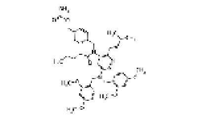 CCCCc1nc2c(N(Cc3ccc(OC)cc3OC)Cc3ccc(OC)cc3OC)nnc(/C=C/C(C)C)c2n1Cc1ccc(COC(N)=O)cc1